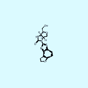 O=C1N[C@@H]2[C@@H](CO)OC[C@@H]2N1c1nc2c3c(ccc2s1)OCC3